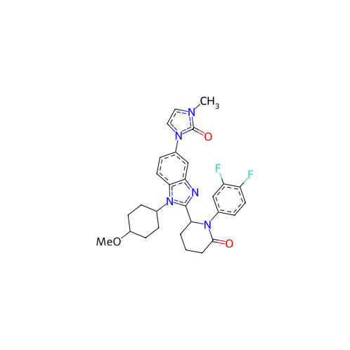 COC1CCC(n2c(C3CCCC(=O)N3c3ccc(F)c(F)c3)nc3cc(-n4ccn(C)c4=O)ccc32)CC1